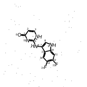 O=c1cc[nH]c(Nc2c[nH]c3cc(F)c(F)cc23)n1